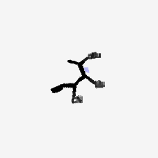 C=CC(C#N)/C(=C(\C)C(C)(C)C)C(C)(C)C